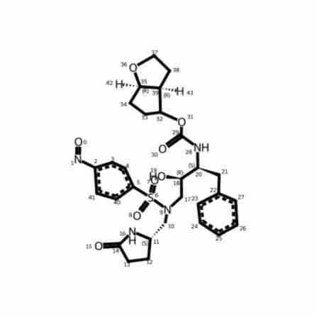 O=Nc1ccc(S(=O)(=O)N(C[C@@H]2CCC(=O)N2)C[C@@H](O)[C@H](Cc2ccccc2)NC(=O)OC2CC[C@H]3OCC[C@@H]23)cc1